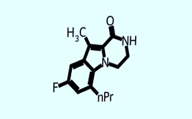 CCCc1cc(F)cc2c(C)c3n(c12)CCNC3=O